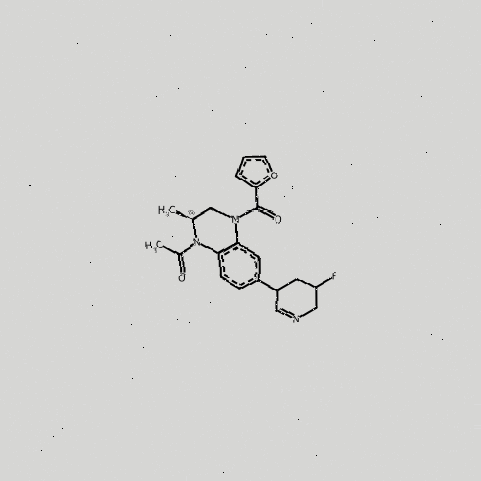 CC(=O)N1c2ccc(C3C=NCC(F)C3)cc2N(C(=O)c2ccco2)C[C@@H]1C